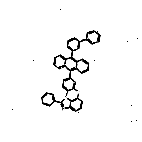 c1ccc(-c2cccc(-c3c4ccccc4c(-c4ccc5c(c4)Oc4cccc6nc(-c7ccccc7)n-5c46)c4ccccc34)c2)cc1